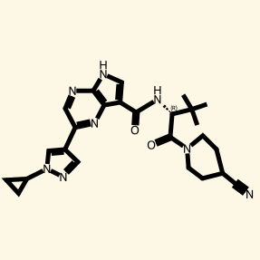 CC(C)(C)[C@@H](NC(=O)c1c[nH]c2ncc(-c3cnn(C4CC4)c3)nc12)C(=O)N1CCC(C#N)CC1